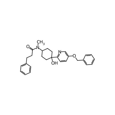 CN(C(=O)CCc1ccccc1)C1CCC(O)(c2ccc(OCc3ccccc3)cn2)CC1